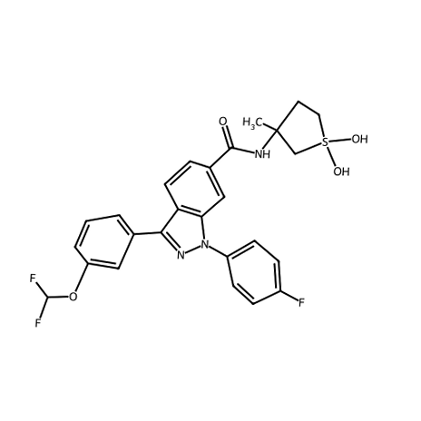 CC1(NC(=O)c2ccc3c(-c4cccc(OC(F)F)c4)nn(-c4ccc(F)cc4)c3c2)CCS(O)(O)C1